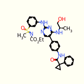 CCOC(=O)N=S(C)(=O)c1cccc(Nc2ncc(-c3ccc(NC(=O)C4(c5ccccc5)CC4)cc3)c(N[C@H](C)CO)n2)c1